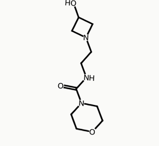 O=C(NCCN1CC(O)C1)N1CCOCC1